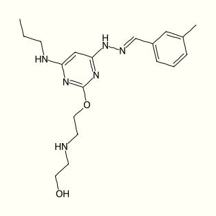 CCCNc1cc(N/N=C/c2cccc(C)c2)nc(OCCNCCO)n1